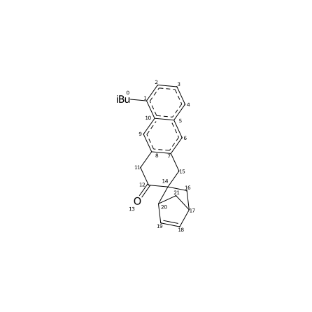 CCC(C)c1cccc2cc3c(cc12)CC(=O)C1(C3)CC2C=CC1C2